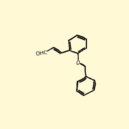 O=CC=Cc1ccccc1OCc1ccccc1